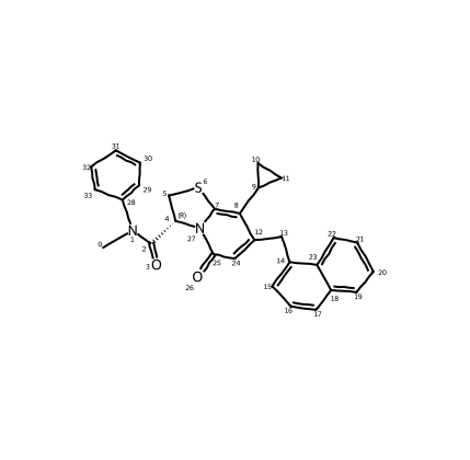 CN(C(=O)[C@@H]1CSc2c(C3CC3)c(Cc3cccc4ccccc34)cc(=O)n21)c1ccccc1